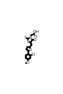 COc1ccc(-c2ccc(/C=C3\SC(=S)N(CC(=O)O)C3=O)o2)c(Cl)c1